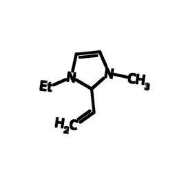 C=CC1N(C)C=CN1CC